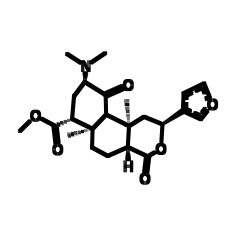 COC(=O)[C@@H]1C[C@@H](N(C)C)C(=O)C2[C@@]1(C)CC[C@H]1C(=O)O[C@H](c3ccoc3)C[C@]21C